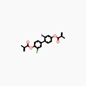 C=C(C)C(=O)Oc1ccc(-c2ccc(OC(=O)C(=C)C)c(F)c2)c(I)c1